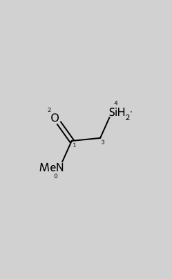 CNC(=O)C[SiH2]